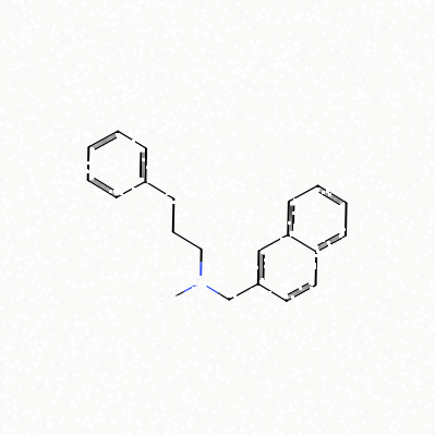 CCCN(CCCc1ccccc1)Cc1ccc2ccccc2c1